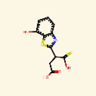 O=C(O)CC(C(O)=S)c1nc2cccc(O)c2s1